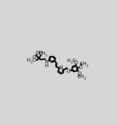 CCC(CC)(CCNc1cccc(C=Cc2cccc(COc3cc(OC)c(OC)c(OC)c3)n2)c1)C(=O)O